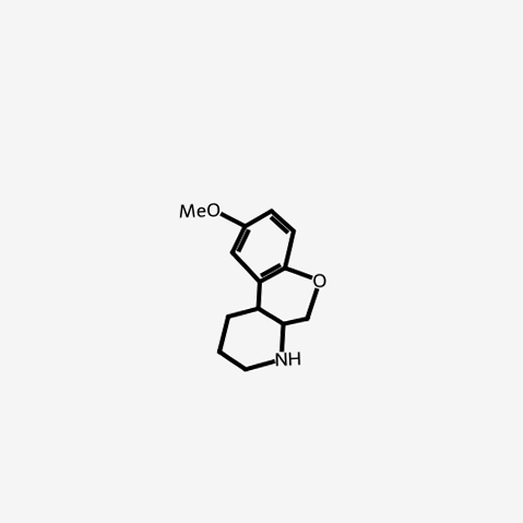 COc1ccc2c(c1)C1CCCNC1CO2